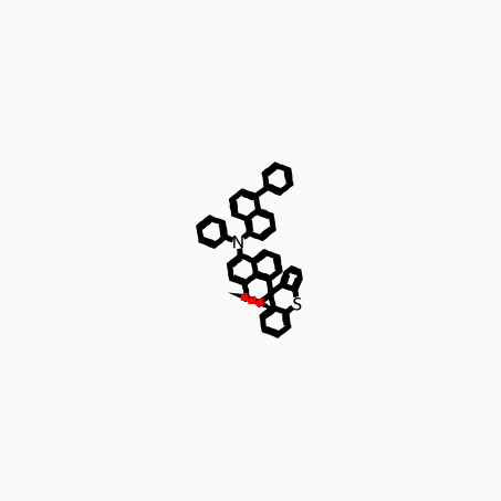 c1ccc(-c2cccc3c(N(c4ccccc4)c4ccc5c6c(cccc46)C4(c6ccccc6Sc6ccccc64)c4ccccc4-5)cccc23)cc1